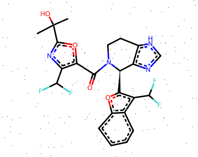 CC(C)(O)c1nc(C(F)F)c(C(=O)N2CCc3[nH]cnc3[C@H]2c2oc3ccccc3c2C(F)F)o1